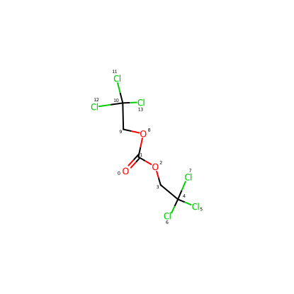 O=C(OCC(Cl)(Cl)Cl)OCC(Cl)(Cl)Cl